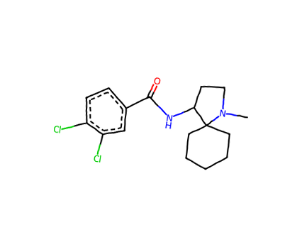 CN1CCC(NC(=O)c2ccc(Cl)c(Cl)c2)C12CCCCC2